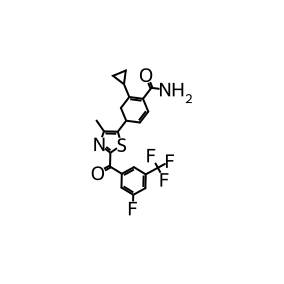 Cc1nc(C(=O)c2cc(F)cc(C(F)(F)F)c2)sc1C1C=CC(C(N)=O)=C(C2CC2)C1